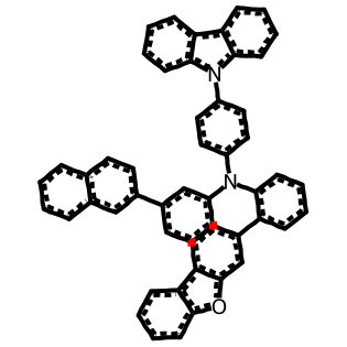 c1cc(-c2ccc3ccccc3c2)cc(N(c2ccc(-n3c4ccccc4c4ccccc43)cc2)c2ccccc2-c2ccc3c(c2)oc2ccccc23)c1